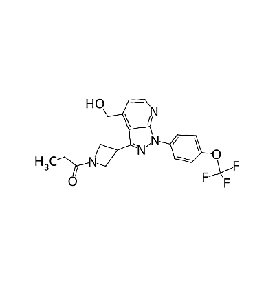 CCC(=O)N1CC(c2nn(-c3ccc(OC(F)(F)F)cc3)c3nccc(CO)c23)C1